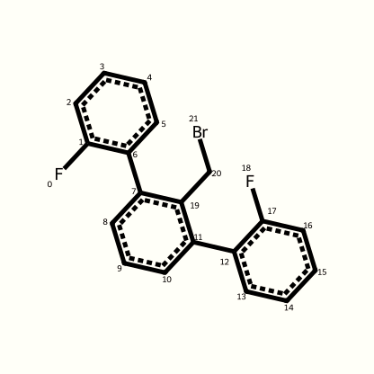 Fc1ccccc1-c1cccc(-c2ccccc2F)c1CBr